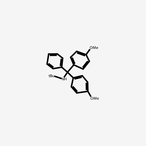 COc1ccc(C(NC(C)(C)C)(c2ccccc2)c2ccc(OC)cc2)cc1